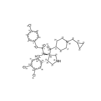 CN(C(=O)Oc1ccc(Cl)cc1)[C@@]1(C(=O)C2CCN(CC3CC3)CC2)CNC[C@@H]1c1ccc(Cl)c(Cl)c1